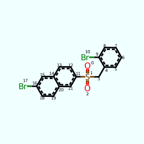 O=S(=O)(Cc1ccccc1Br)c1ccc2cc(Br)ccc2c1